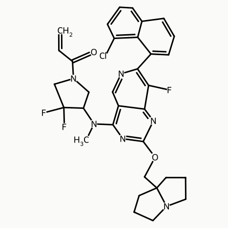 C=CC(=O)N1CC(N(C)c2nc(OCC34CCCN3CCC4)nc3c(F)c(-c4cccc5cccc(Cl)c45)ncc23)C(F)(F)C1